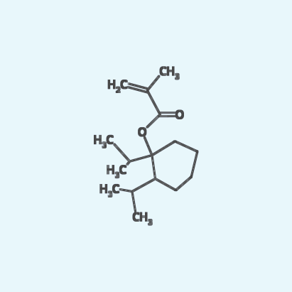 C=C(C)C(=O)OC1(C(C)C)CCCCC1C(C)C